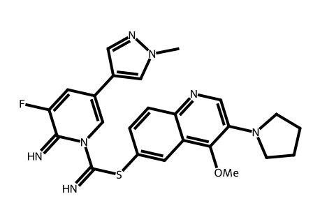 COc1c(N2CCCC2)cnc2ccc(SC(=N)n3cc(-c4cnn(C)c4)cc(F)c3=N)cc12